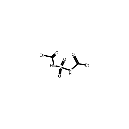 CCC(=O)NS(=O)(=O)NC(=O)CC